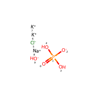 O=P([O-])(O)O.[Cl-].[K+].[K+].[Na+].[OH-]